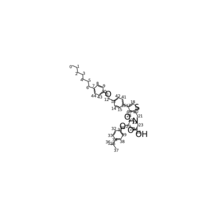 CCCCCCCc1ccc(OCc2ccc(-c3csc(CN(CC(=O)O)C(=O)COc4ccc(C(C)C)cc4)c3)cc2)cc1